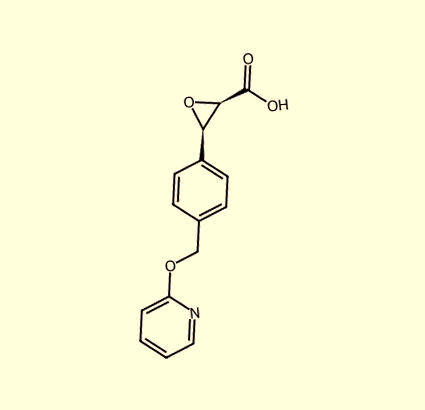 O=C(O)[C@@H]1O[C@@H]1c1ccc(COc2ccccn2)cc1